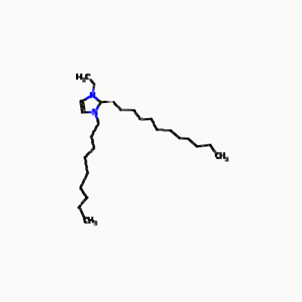 CCCCCCCCCCCCC1N(CC)C=CN1CCCCCCCCC